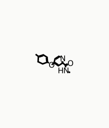 CNC(=O)c1cc(OC2=CC=C(C)CC2)ccn1